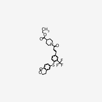 CCOC(=O)C1CCN(C(=O)/C=C/c2ccc(Sc3ccc4c(c3)CCOO4)c(C(F)(F)F)c2)CC1